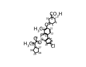 Cc1c(O[C@H]2CCC[C@H](C(=O)O)C2)ccc(-c2sc(Cl)cc2COC(=O)N(C)C2CCCC2)c1F